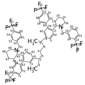 CCC(CCCC(C)c1ccc(C2CCCCN2Cc2cccc(C(F)(F)F)c2)c(-c2ccc(C(F)(F)F)cc2)c1)c1ccc(C2CCCCN2Cc2ccc(C(F)(F)F)cc2)c(-c2ccc(C(F)(F)F)cc2)c1